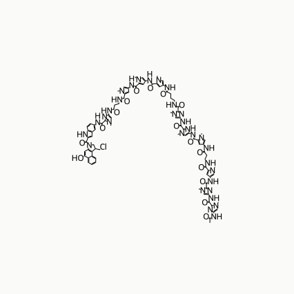 CC(=O)Nc1cn(C)c(C(=O)Nc2cn(C)c(C(=O)Nc3cc(C(=O)NCCC(=O)Nc4cc(C(=O)Nc5cn(C)c(C(=O)Nc6cn(C)c(C(=O)NCCCC(=O)Nc7cc(C(=O)Nc8cc(C(=O)Nc9cc(C(=O)NCCC(=O)Nc%10cn(C)c(C(=O)Nc%11ccc%12[nH]c(C(=O)N%13CC(CCl)c%14c%13cc(O)c%13ccccc%14%13)cc%12c%11)n%10)n(C)c9)n(C)c8)n(C)c7)n6)n5)n(C)c4)n(C)c3)n2)n1